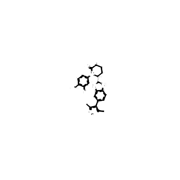 Cc1noc(C)c1-c1ccc2c(c1)N[C@@H](C1CCCC(=O)N1c1ccc(Cl)c(Cl)c1)N2